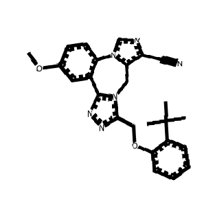 COc1ccc2c(c1)-c1nnc(COc3ccccc3C(C)(C)C)n1Cc1c(C#N)ncn1-2